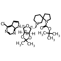 CC(C)(C)OC(=O)N1CCCC12CCCN(C[C@H]1O[C@@H](n3ccc4c(Cl)ncnc43)[C@@H]3OC(C)(C)O[C@@H]31)C2